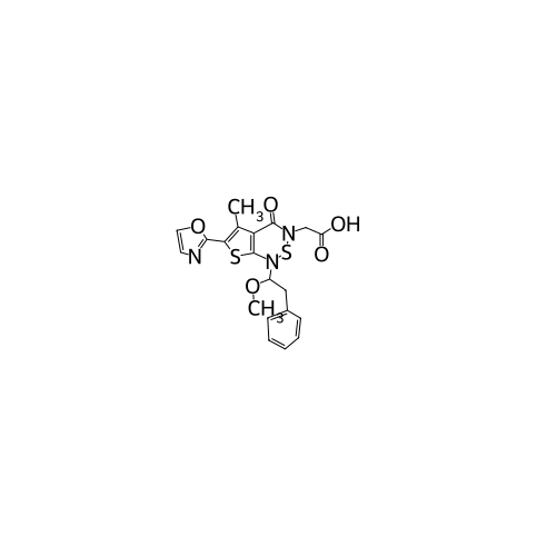 COC(Cc1ccccc1)N1SN(CC(=O)O)C(=O)c2c1sc(-c1ncco1)c2C